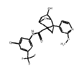 COc1cc(C23CC2(C(=O)Nc2cc(Cl)cc(C(F)(F)F)c2)C2CC(O)C3O2)ccn1